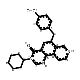 O=Cc1ccc(Cc2cc3c(=O)n(C4CCCCC4)cnc3c3ccncc23)cc1